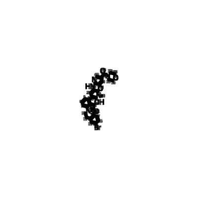 Cn1cc(-c2cccc(N3CCc4cc(Br)ccc4S3(=O)=O)c2CO)cc(Nc2ccc(C(=O)N3CCOCC3)cn2)c1=O